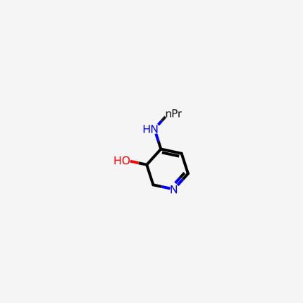 CCCNC1=CC=NCC1O